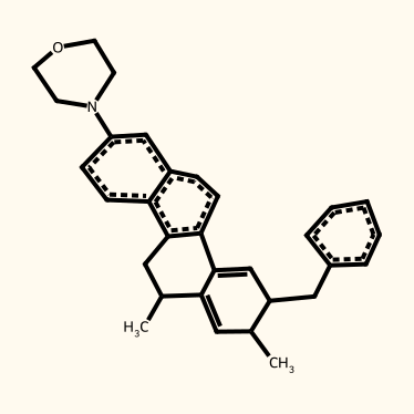 CC1Cc2c(ccc3cc(N4CCOCC4)ccc23)C2=CC(Cc3ccccc3)C(C)C=C21